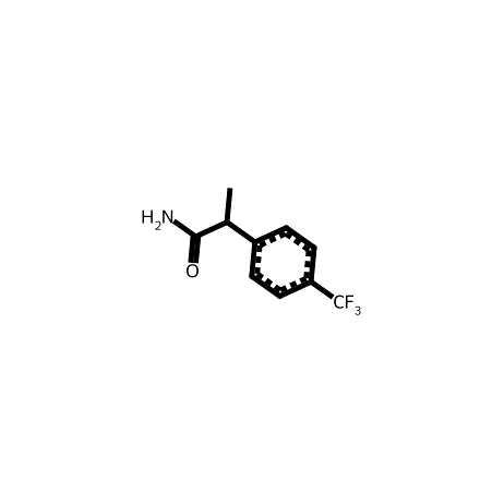 CC(C(N)=O)c1ccc(C(F)(F)F)cc1